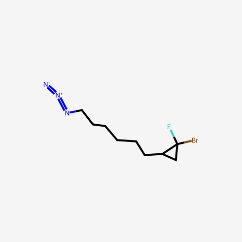 [N-]=[N+]=NCCCCCCC1CC1(F)Br